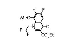 CCOC(=O)c1cn(CC(F)F)c2c(OC)c(F)c(F)cc2c1=O